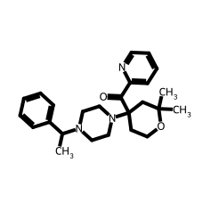 CC(c1ccccc1)N1CCN(C2(C(=O)c3ccccn3)CCOC(C)(C)C2)CC1